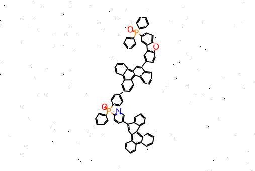 O=P(c1ccccc1)(c1ccccc1)c1ccc2oc3ccc(-c4cc5c6ccccc6c6cc(-c7ccc(P(=O)(c8ccccc8)c8ccc(-c9cc%10c%11ccccc%11c%11ccccc%11c%10c%10ccccc9%10)cn8)cc7)ccc6c5c5ccccc45)cc3c2c1